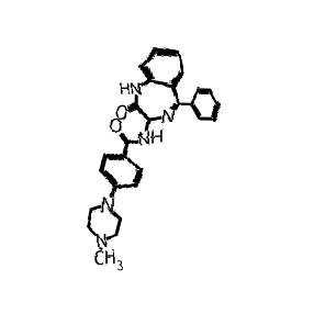 CN1CCN(c2ccc(C(=O)NC3N=C(c4ccccc4)c4ccccc4NC3=O)cc2)CC1